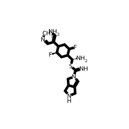 C/N=C\C(=C/N)C1CC(F)C([C@H](N)SC(=N)N2C=C3CNCC3C2)C[C@H]1F